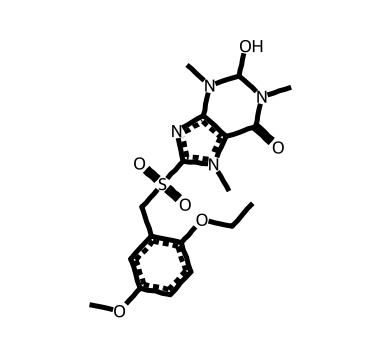 CCOc1ccc(OC)cc1CS(=O)(=O)c1nc2c(n1C)C(=O)N(C)C(O)N2C